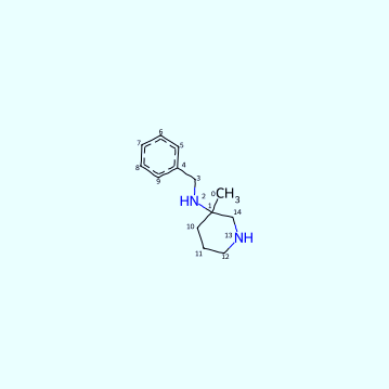 CC1(NCc2ccccc2)CCCNC1